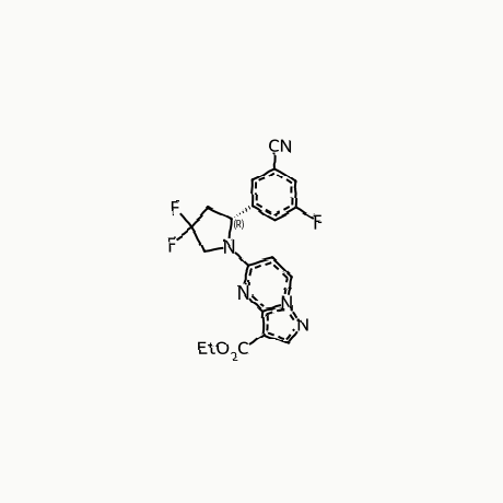 CCOC(=O)c1cnn2ccc(N3CC(F)(F)C[C@@H]3c3cc(F)cc(C#N)c3)nc12